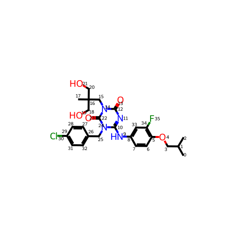 CC(C)COc1ccc(Nc2nc(=O)n(CC(C)(CO)CO)c(=O)n2Cc2ccc(Cl)cc2)cc1F